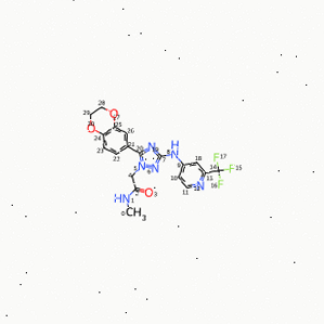 CNC(=O)Cn1nc(Nc2ccnc(C(F)(F)F)c2)nc1-c1ccc2c(c1)OCCO2